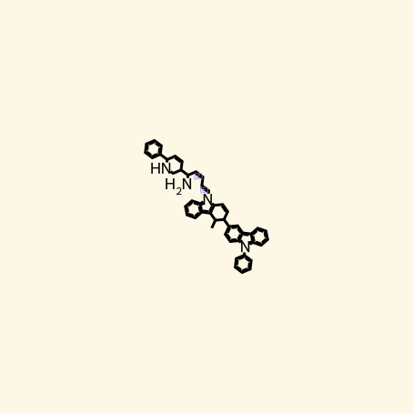 CC1c2c(n(/C=C/C=C\C(N)C3C=CC(c4ccccc4)NC3)c3ccccc23)C=CC1c1ccc2c(c1)c1ccccc1n2-c1ccccc1